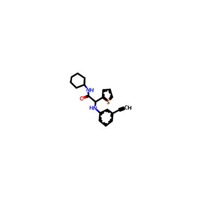 C#Cc1cccc(NC(C(=O)NC2CCCCC2)c2cccs2)c1